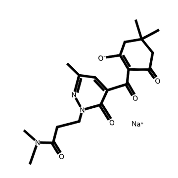 Cc1cc(C(=O)C2=C([O-])CC(C)(C)CC2=O)c(=O)n(CCC(=O)N(C)C)n1.[Na+]